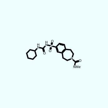 CNC(=O)N1CCc2ccc(S(=O)(=O)NC(=O)NC3CCCCC3)cc2CC1